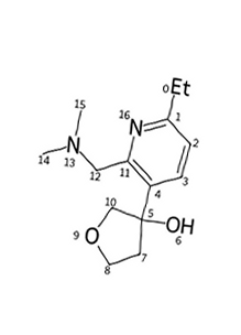 CCc1ccc(C2(O)CCOC2)c(CN(C)C)n1